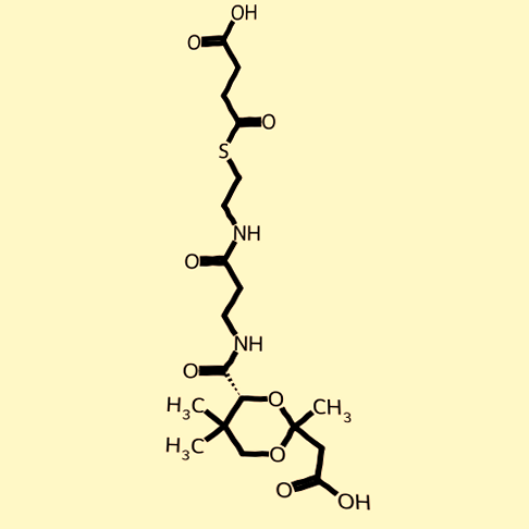 CC1(CC(=O)O)OCC(C)(C)[C@H](C(=O)NCCC(=O)NCCSC(=O)CCC(=O)O)O1